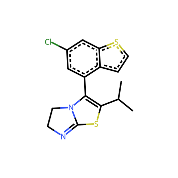 CC(C)C1=C(c2cc(Cl)cc3sccc23)N2CCN=C2S1